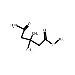 CC(C)(CC(N)=O)CC(=O)OC(C)(C)C